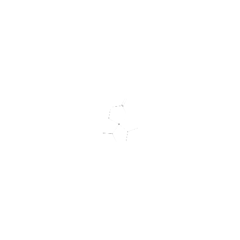 O=C1OCC(C(F)F)(C(F)F)O1